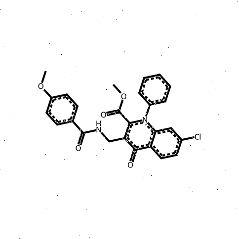 COC(=O)c1c(CNC(=O)c2ccc(OC)cc2)c(=O)c2ccc(Cl)cc2n1-c1ccccc1